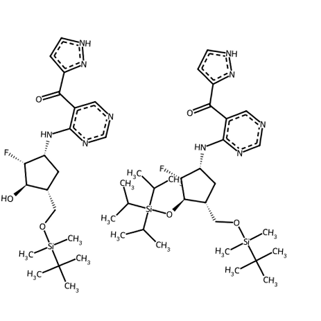 CC(C)(C)[Si](C)(C)OC[C@H]1C[C@@H](Nc2ncncc2C(=O)c2cc[nH]n2)[C@@H](F)[C@@H]1O.CC(C)[Si](O[C@@H]1[C@@H](CO[Si](C)(C)C(C)(C)C)C[C@@H](Nc2ncncc2C(=O)c2cc[nH]n2)[C@H]1F)(C(C)C)C(C)C